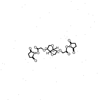 O=C(CO[C@H]1CO[C@H]2[C@@H]1OC[C@H]2OCC(=O)ON1C(=O)CCC1=O)ON1C(=O)CCC1=O